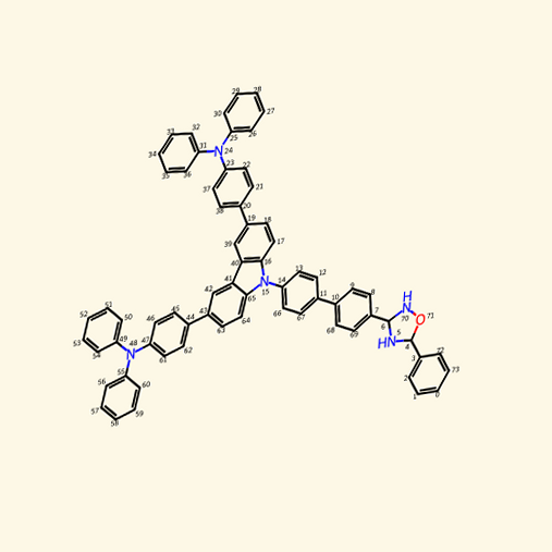 c1ccc(C2NC(c3ccc(-c4ccc(-n5c6ccc(-c7ccc(N(c8ccccc8)c8ccccc8)cc7)cc6c6cc(-c7ccc(N(c8ccccc8)c8ccccc8)cc7)ccc65)cc4)cc3)NO2)cc1